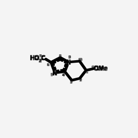 COC1CCc2nc(C(=O)O)cn2C1